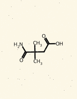 CC(C)(CC(=O)O)C(N)=O